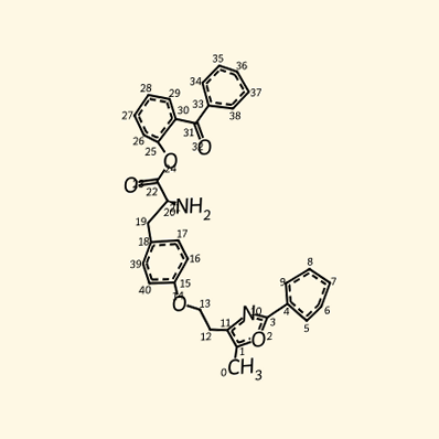 Cc1oc(-c2ccccc2)nc1CCOc1ccc(C[C@H](N)C(=O)Oc2ccccc2C(=O)c2ccccc2)cc1